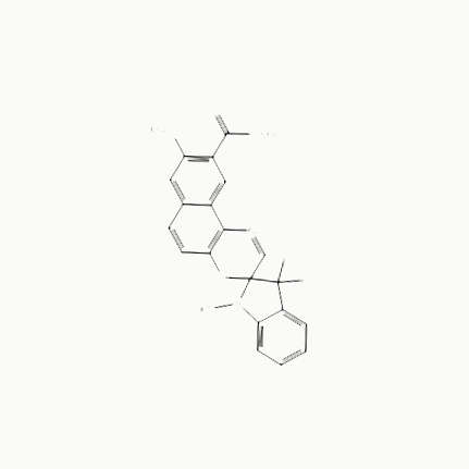 CCCN1c2ccccc2C(C)(CC)C12C=Nc1c(ccc3cc(OC)c(C(=O)OC)cc13)O2